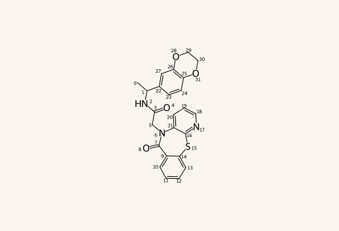 CC(NC(=O)CN1C(=O)c2ccccc2Sc2ncccc21)c1ccc2c(c1)OCCO2